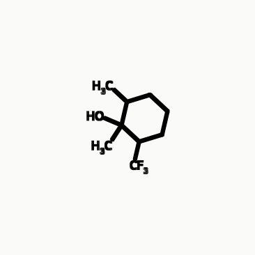 CC1CCCC(C(F)(F)F)C1(C)O